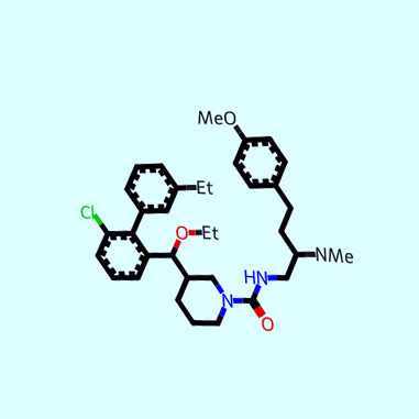 [CH2]COC(c1cccc(Cl)c1-c1cccc(CC)c1)C1CCCN(C(=O)NCC(CCc2ccc(OC)cc2)NC)C1